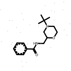 CC(C)(C)N1CCOC(CNC(=O)c2ccccc2)C1